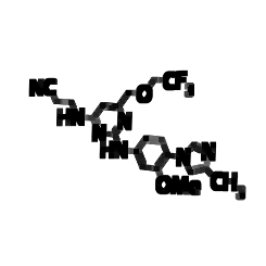 COc1cc(Nc2nc(COCC(F)(F)F)cc(NCCC#N)n2)ccc1-n1cnc(C)c1